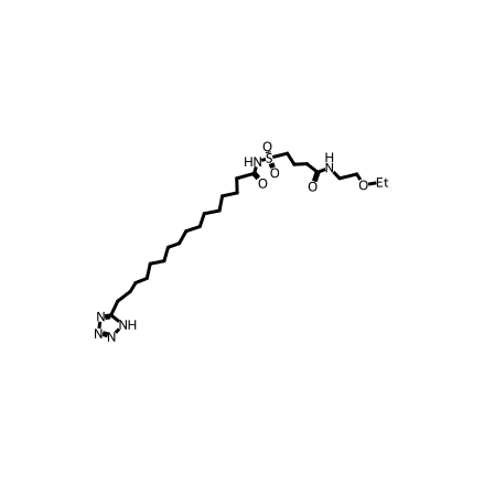 CCOCCNC(=O)CCCS(=O)(=O)NC(=O)CCCCCCCCCCCCCCCc1nnn[nH]1